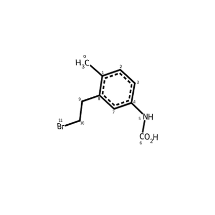 Cc1ccc(NC(=O)O)cc1CCBr